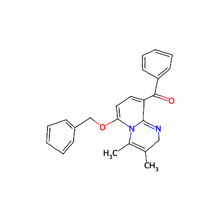 CC1=C(C)N2C(OCc3ccccc3)=CC=C(C(=O)c3ccccc3)C2=NC1